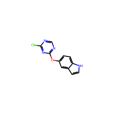 Clc1ncnc(Oc2ccc3[nH]ccc3c2)n1